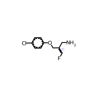 NC/C(=C/F)COc1ccc(Cl)cc1